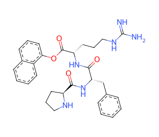 N=C(N)NCCC[C@H](NC(=O)[C@H](Cc1ccccc1)NC(=O)[C@@H]1CCCN1)C(=O)Oc1cccc2ccccc12